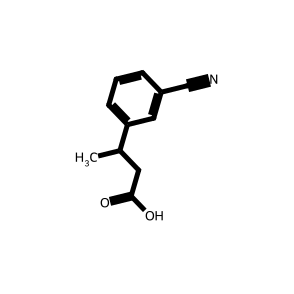 CC(CC(=O)O)c1cccc(C#N)c1